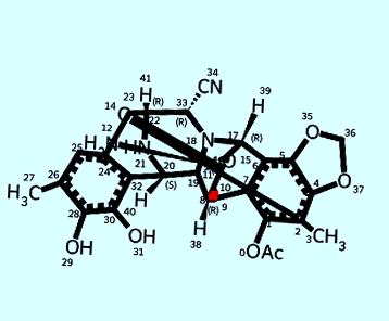 CC(=O)Oc1c(C)c2c(c3c1[C@H]1SC[C@H](N)C(=O)OC[C@@H]3N3C1[C@H]1N[C@H](Cc4cc(C)c(O)c(O)c41)[C@@H]3C#N)OCO2